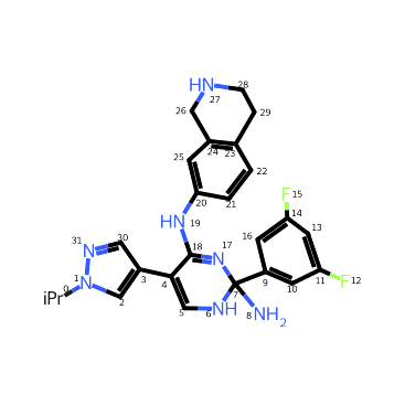 CC(C)n1cc(C2=CNC(N)(c3cc(F)cc(F)c3)N=C2Nc2ccc3c(c2)CNCC3)cn1